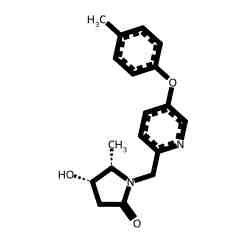 Cc1ccc(Oc2ccc(CN3C(=O)C[C@H](O)[C@@H]3C)nc2)cc1